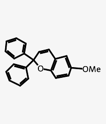 COc1ccc2c(c1)C=CC(c1ccccc1)(c1ccccc1)O2